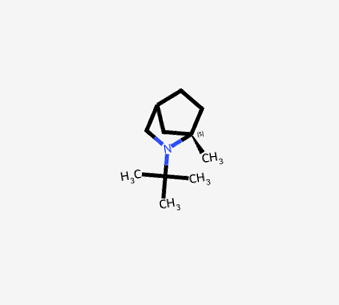 CC(C)(C)N1CC2CC[C@@]1(C)C2